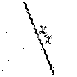 CCCCCCCCCCCCCCSCCCCCCCCCCCCCC.CN(C)C(=S)SSC(=S)N(C)C